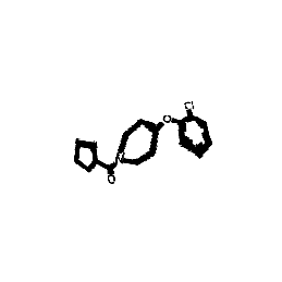 O=C(C1CCCC1)N1CCC(Oc2ccccc2Cl)CC1